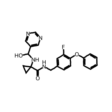 O=C(NCc1ccc(Oc2ccccc2)c(F)c1)C1(NC(O)c2cncnc2)CC1